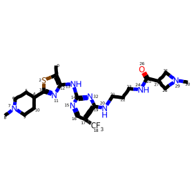 Cc1sc(C2CCN(C)CC2)nc1Nc1ncc(C(F)(F)F)c(NCCCNC(=O)C2CN(C)C2)n1